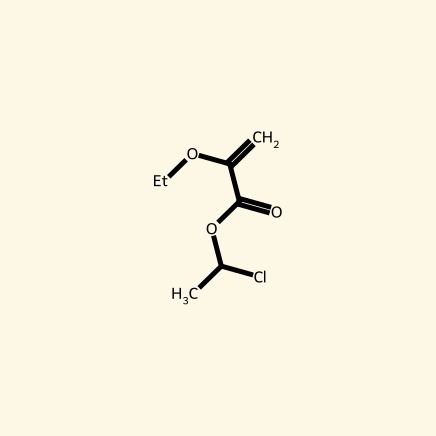 C=C(OCC)C(=O)OC(C)Cl